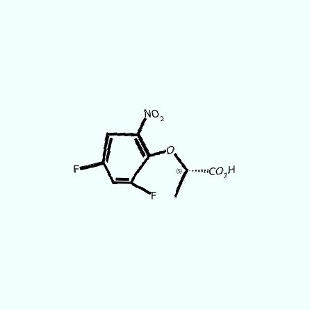 C[C@H](Oc1c(F)cc(F)cc1[N+](=O)[O-])C(=O)O